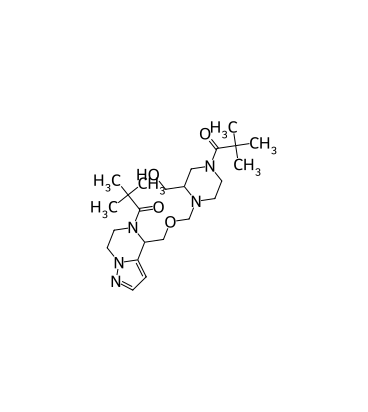 CC(C)(C)C(=O)N1CCN(COCC2c3ccnn3CCN2C(=O)C(C)(C)C)C(CO)C1